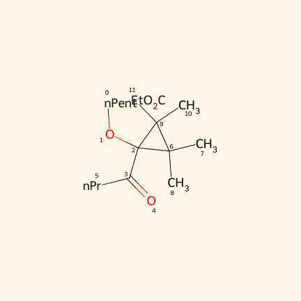 CCCCCOC1(C(=O)CCC)C(C)(C)C1(C)C(=O)OCC